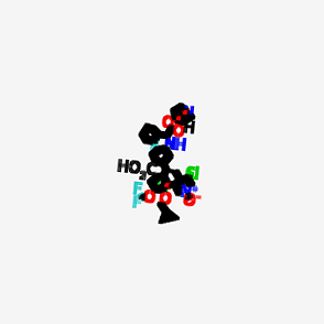 O=C(O)c1ccc(NC(C(=O)O[C@H]2CN3CCC2CC3)c2ccccc2F)cc1[C@@H](Cc1c(Cl)c[n+]([O-])cc1Cl)c1ccc(OC(F)F)c(OCC2CC2)c1